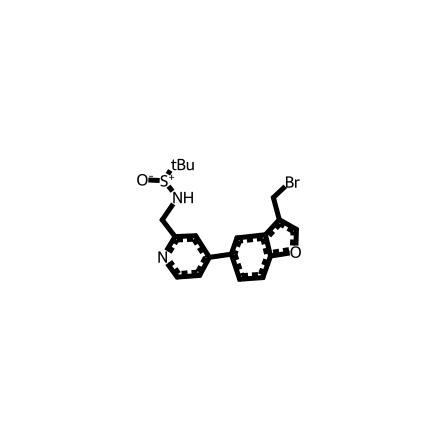 CC(C)(C)[S+]([O-])NCc1cc(-c2ccc3occ(CBr)c3c2)ccn1